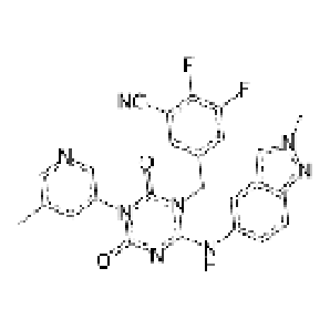 Cc1cncc(-n2c(=O)nc(Nc3ccc4nn(C)cc4c3)n(Cc3cc(F)c(F)c(C#N)c3)c2=O)c1